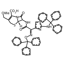 COCC1=C(C(=O)O)N2C(=O)C(NC(=O)/C(=N\OC(c3ccccc3)(c3ccccc3)c3ccccc3)c3csc(NC(c4ccccc4)(c4ccccc4)c4ccccc4)n3)[C@@H]2SC1